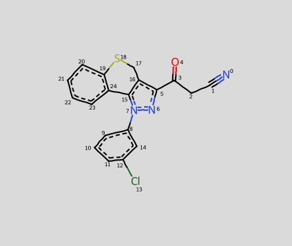 N#CCC(=O)c1nn(-c2cccc(Cl)c2)c2c1CSc1ccccc1-2